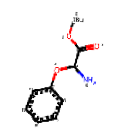 CC(C)(C)OC(=O)C(N)Oc1ccccc1